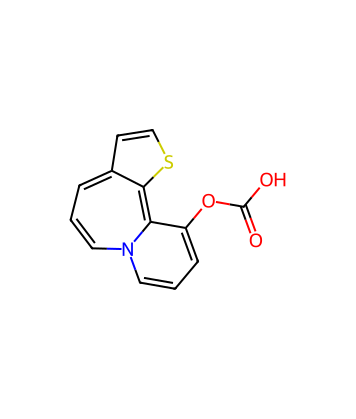 O=C(O)OC1=CC=CN2C=CC=c3ccsc3=C12